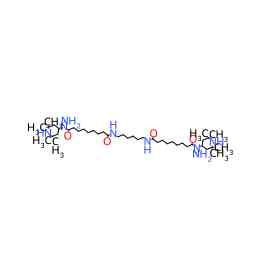 CC1(C)CC(N(N)C(=O)CCCCCCCC(=O)NCCCCCCNC(=O)CCCCCCCC(=O)N(N)C2CC(C)(C)NC(C)(C)C2)CC(C)(C)N1